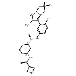 CC1NN2CC(C)(C)CC2=C1c1cc(NC(=O)[C@H]2CCC[C@@H](NC(=O)C3COC3)C2)ncc1Cl